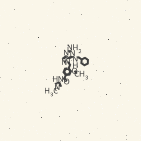 COc1cc(C(=O)NC2CN(C)C2)ccc1Cn1ncc2nc(N)nc(NCC3CCCCC3)c21